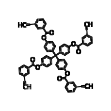 C#Cc1cccc(C(=O)Oc2ccc(C(c3ccc(OC(=O)c4cccc(C#C)c4)cc3)(c3ccc(OC(=O)c4cccc(C#C)c4)cc3)c3ccc(OC(=O)c4cccc(C#C)c4)cc3)cc2)c1